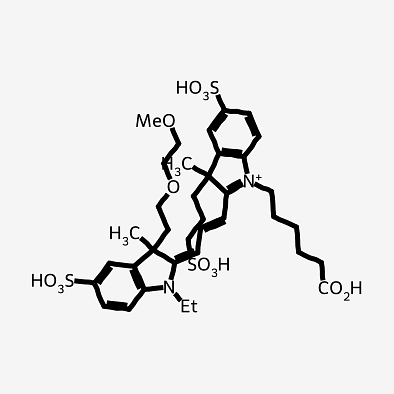 CCN1/C(=C/C=C/C2=[N+](CCCCCC(=O)O)c3ccc(S(=O)(=O)O)cc3C2(C)CCCS(=O)(=O)O)C(C)(CCOCCOC)c2cc(S(=O)(=O)O)ccc21